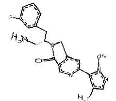 Cc1cnn(C)c1-c1cc2c(cn1)C(=O)N([C@H](CN)Cc1cccc(F)c1)C2